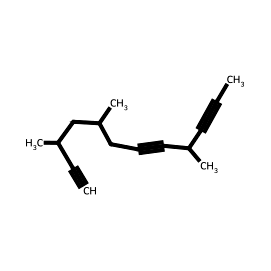 C#CC(C)[CH]C(C)CC#CC(C)C#CC